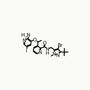 CC(Oc1cc(I)cnc1N)c1cccnc1C(=O)NCc1c(Br)c(C(C)(C)C)nn1C